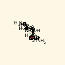 NC(=O)c1ccc[n+]([C@@H]2O[C@H](COP(=O)(O)OP(=O)(O)OC[C@H]3O[C@@H](n4c(Sc5ccccc5)nc5c(N)ccnc54)C(O)[C@H]3O)C(O)C2O)c1